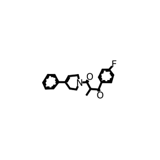 CC(C(=O)c1ccc(F)cc1)C(=O)N1CC=C(c2ccccc2)CC1